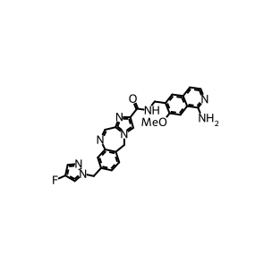 COc1cc2c(N)nccc2cc1CNC(=O)c1cn2c(n1)C=Nc1cc(Cn3cc(F)cn3)ccc1C2